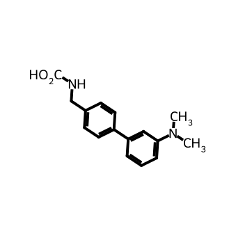 CN(C)c1cccc(-c2ccc(CNC(=O)O)cc2)c1